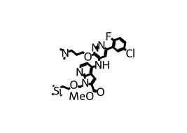 COC(=O)c1cc2c(Nc3cc(-c4cc(Cl)ccc4F)nnc3OCCCN(C)C)ccnc2n1COCC[Si](C)(C)C